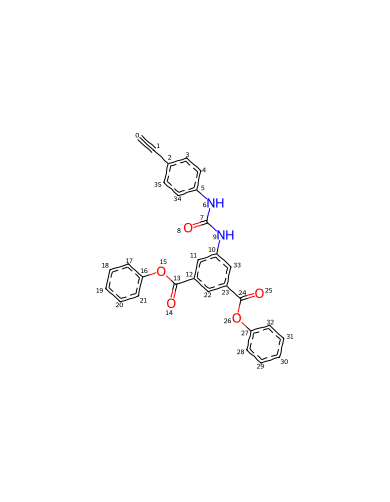 C#Cc1ccc(NC(=O)Nc2cc(C(=O)Oc3ccccc3)cc(C(=O)Oc3ccccc3)c2)cc1